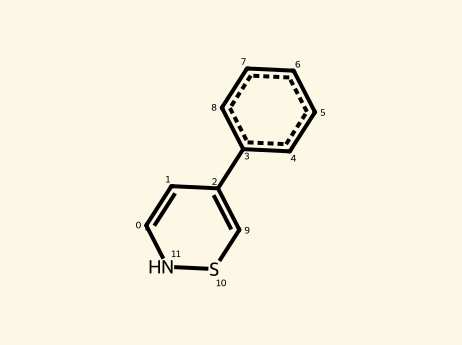 [C]1=CC(c2ccccc2)=CSN1